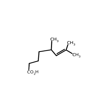 CC(C)=CC(C)CCCC(=O)O